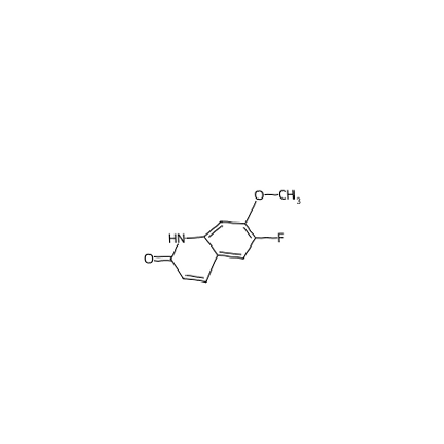 COc1cc2[nH]c(=O)ccc2cc1F